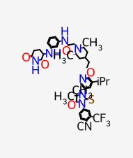 CC(C)c1cc(N2C(=S)N(c3ccc(C#N)c(C(F)(F)F)c3)C(=O)C2(C)C)cnc1OCCC1C[C@@H](C)N(CC(=O)Nc2cccc(NC3CCC(=O)NC3=O)c2)[C@@H](C)C1